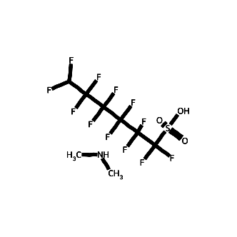 CNC.O=S(=O)(O)C(F)(F)C(F)(F)C(F)(F)C(F)(F)C(F)(F)C(F)F